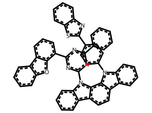 c1ccc(-c2nc(-c3cccc4c3oc3ccccc34)nc(-n3c4ccccc4c4ccc5c6ccccc6n(-c6ccc(-c7nc8ccccc8s7)cc6)c5c43)n2)cc1